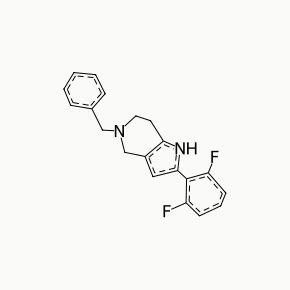 Fc1cccc(F)c1-c1cc2c([nH]1)CCN(Cc1ccccc1)C2